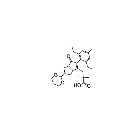 CCc1cc(C)cc(CC)c1C1=C(CC(C)(C)C(=O)O)C2CC(C3OCCCO3)CC2C1=O